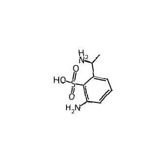 CC(N)c1cccc(N)c1S(=O)(=O)O